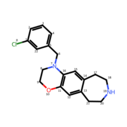 Clc1cccc(CN2CCOc3cc4c(cc32)CCNCC4)c1